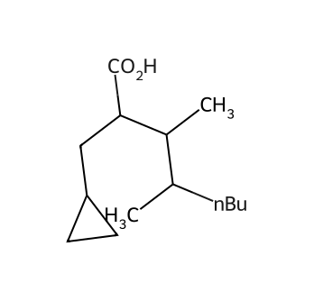 CCCCC(C)C(C)C(CC1CC1)C(=O)O